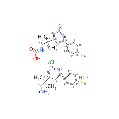 CC(C)(CN)c1cc(Cl)nc(-c2ccc(F)cc2)c1.CC(C)(CNC(=O)O)c1cc(Cl)nc(-c2ccc(F)cc2)c1.Cl